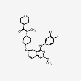 COc1nc(Nc2ccc(F)c(Cl)c2)c2cc(O[C@H]3CC[C@@H](N(C)C(=O)N4CCOCC4)CC3)ccc2n1